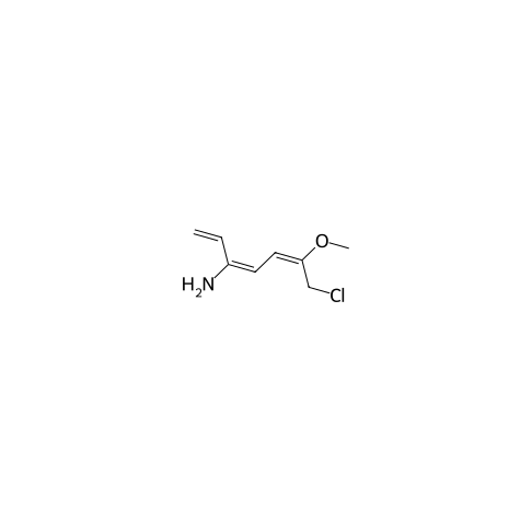 C=C/C(N)=C\C=C(/CCl)OC